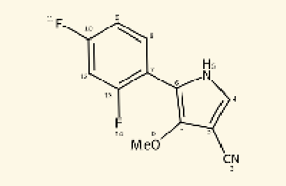 COc1c(C#N)c[nH]c1-c1ccc(F)cc1F